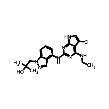 CCNc1nc(Nc2cccc3c2cnn3CC(C)(C)O)nc2[nH]cc(Cl)c12